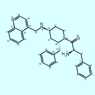 N[C@H](Cc1ccccc1)C(=O)N1CC[C@H](NCc2ccnc3ccccc23)C[C@H]1Cc1ccccc1